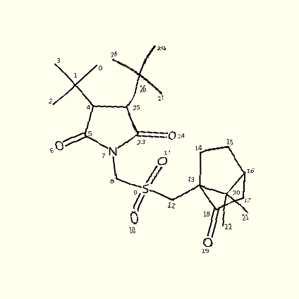 CC(C)(C)C1C(=O)N(CS(=O)(=O)CC23CCC(CC2=O)C3(C)C)C(=O)C1C(C)(C)C